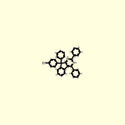 CCc1ccc(C2(c3ccccc3)c3ccccc3-c3c(-c4ccccc4)nc(-c4ccccc4)nc32)cc1